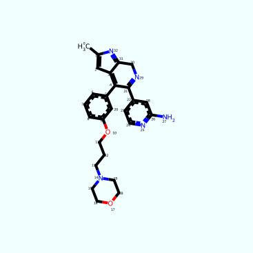 CC1=CC2=C(c3cccc(OCCCN4CCOCC4)c3)C(c3ccnc(N)c3)=NCC2=N1